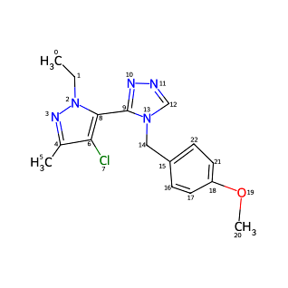 CCn1nc(C)c(Cl)c1-c1nncn1Cc1ccc(OC)cc1